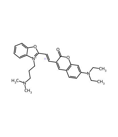 CCN(CC)c1ccc2cc(/C=C/c3oc4ccccc4[n+]3CCCN(C)C)c(=O)oc2c1